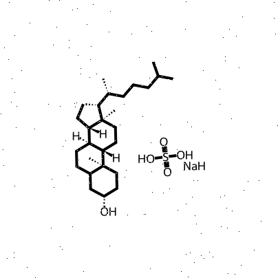 CC(C)CCC[C@@H](C)[C@H]1CC[C@H]2[C@@H]3CCC4C[C@@H](O)CC[C@]4(C)[C@H]3CC[C@]12C.O=S(=O)(O)O.[NaH]